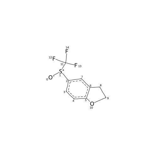 [O-][S+](c1ccc2c(c1)CCO2)C(F)(F)F